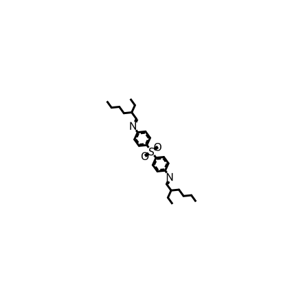 CCCCC(C=Nc1ccc(S(=O)(=O)c2ccc(N=CC(CC)CCCC)cc2)cc1)CC